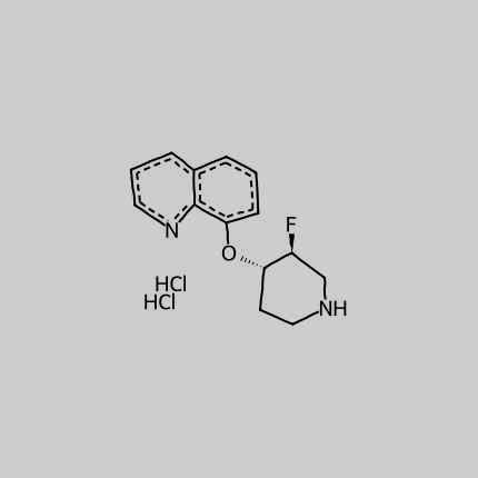 Cl.Cl.F[C@H]1CNCC[C@@H]1Oc1cccc2cccnc12